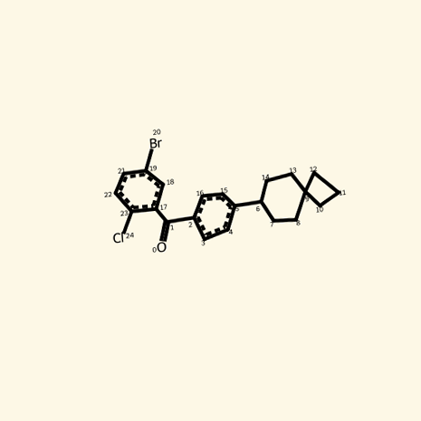 O=C(c1ccc(C2CCC3(CCC3)CC2)cc1)c1cc(Br)ccc1Cl